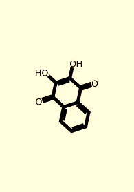 O=C1C(O)=C(O)C(=O)c2ccccc21